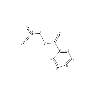 O=C(OC[SH](=O)=O)c1ccccc1